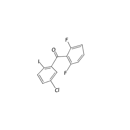 O=C(c1cc(Cl)ccc1I)c1c(F)cccc1F